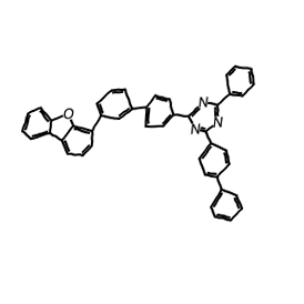 c1ccc(-c2ccc(-c3nc(-c4ccccc4)nc(-c4ccc(-c5cccc(-c6cccc7c6oc6ccccc67)c5)cc4)n3)cc2)cc1